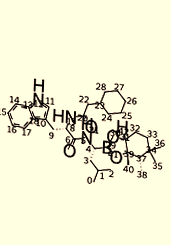 CC(C)C[C@H](NC(=O)[C@H](Cc1c[nH]c2ccccc12)NC(=O)CC1CCCCC1)B1O[C@@H]2CCC(C)(C)[C@H](C)[C@]2(C)O1